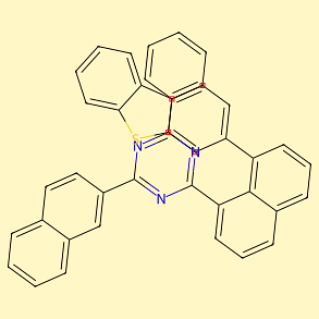 c1ccc(-c2nc(-c3ccc4ccccc4c3)nc(-c3cccc4cccc(-c5ccc6c(c5)sc5ccccc56)c34)n2)cc1